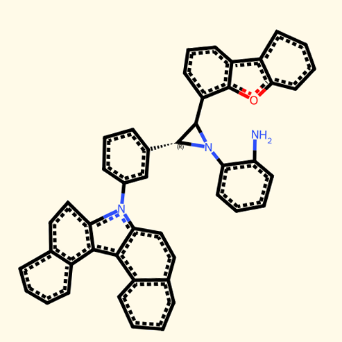 Nc1ccccc1N1C(c2cccc3c2oc2ccccc23)[C@H]1c1cccc(-n2c3ccc4ccccc4c3c3c4ccccc4ccc32)c1